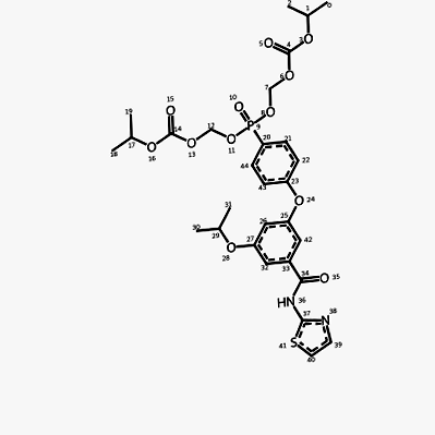 CC(C)OC(=O)OCOP(=O)(OCOC(=O)OC(C)C)c1ccc(Oc2cc(OC(C)C)cc(C(=O)Nc3nccs3)c2)cc1